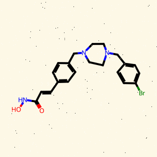 O=C(/C=C/c1ccc(CN2CCN(Cc3ccc(Br)cc3)CC2)cc1)NO